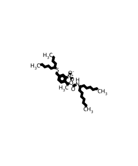 CCCCCCCC(CCCCCC)NC(=O)OC(C)c1ccc(CSC(CCCC)CCCCC)cc1[N+](=O)[O-]